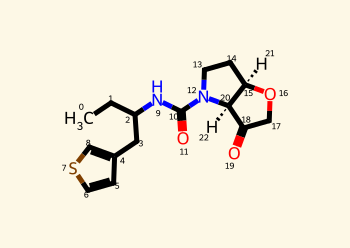 CCC(Cc1ccsc1)NC(=O)N1CC[C@H]2OCC(=O)[C@H]21